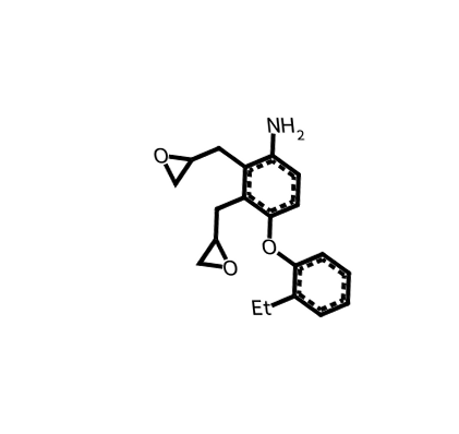 CCc1ccccc1Oc1ccc(N)c(CC2CO2)c1CC1CO1